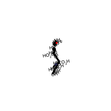 Nc1nc2ncc(CNc3ccc(C(=O)NC(CCC(=O)OCCSSCC(NC(=O)C(/C=C\CCC(=O)O)CCC(=O)NC[C@H](O)[C@@H](O)C[C@H](O)CO)C(=O)O)C(=O)O)cc3)nc2c(=O)[nH]1